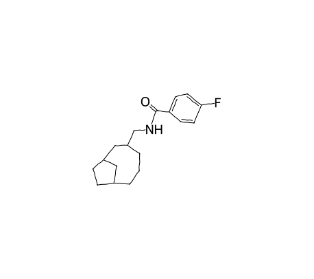 O=C(NCC1CCCC2CCC(C2)C1)c1ccc(F)cc1